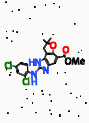 COC(=O)c1cc2nc(Nc3ccc(Cl)cc3Cl)[nH]c2c2c1OC(C)(C)C2